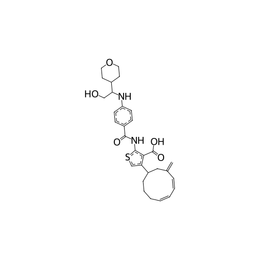 C=C1/C=C\C=C/CCCC(c2csc(NC(=O)c3ccc(NC(CO)C4CCOCC4)cc3)c2C(=O)O)C1